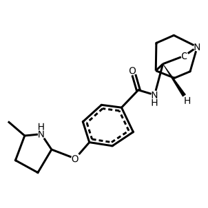 CC1CCC(Oc2ccc(C(=O)N[C@H]3CN4CCC3CC4)cc2)N1